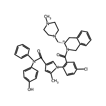 Cc1cc(C(=O)N(c2ccccc2)c2ccc(O)cc2)cn1-c1ccc(Cl)cc1C(=O)N1Cc2ccccc2C[C@H]1CN1CCN(C)CC1